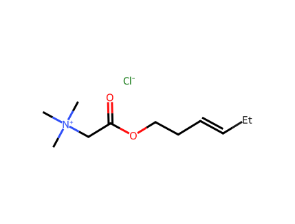 CCC=CCCOC(=O)C[N+](C)(C)C.[Cl-]